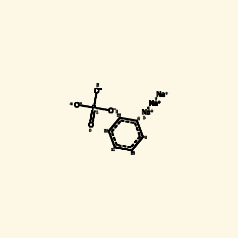 O=P([O-])([O-])[O-].[Na+].[Na+].[Na+].c1ccccc1